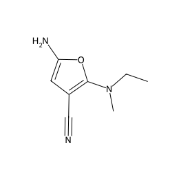 CCN(C)c1oc(N)cc1C#N